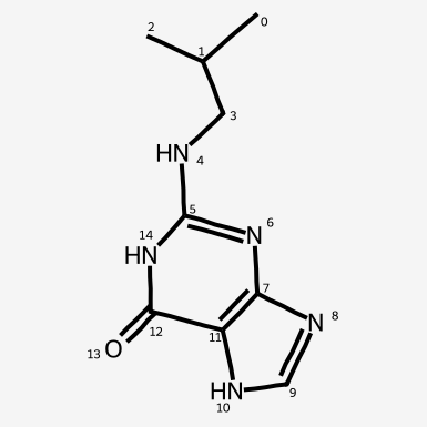 CC(C)CNc1nc2nc[nH]c2c(=O)[nH]1